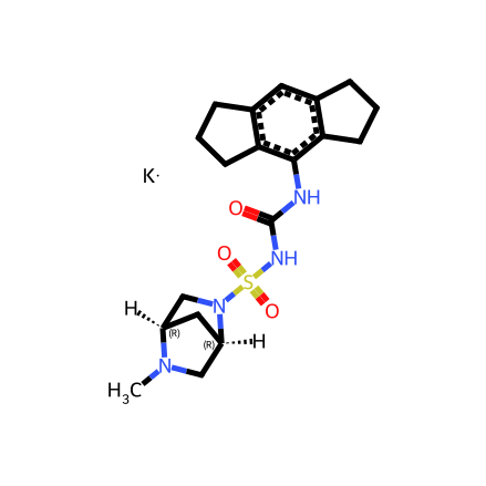 CN1C[C@H]2C[C@@H]1CN2S(=O)(=O)NC(=O)Nc1c2c(cc3c1CCC3)CCC2.[K]